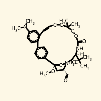 CO[C@@]12C[C@@H](C=O)N(C1)C(=O)[C@H](C(C)(C)C)NC(=O)OCC(C)(C)CCC=Cc1cc(N(C)C)ccc1-c1ccc2cc1